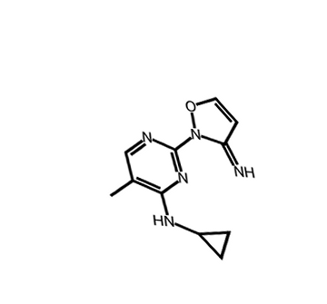 Cc1cnc(-n2occc2=N)nc1NC1CC1